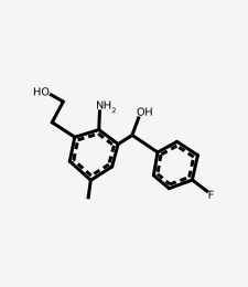 Cc1cc(CCO)c(N)c(C(O)c2ccc(F)cc2)c1